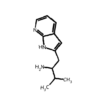 CC(C)C(N)Cc1cc2cccnc2[nH]1